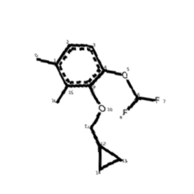 Cc1ccc(OC(F)F)c(OCC2CC2)c1C